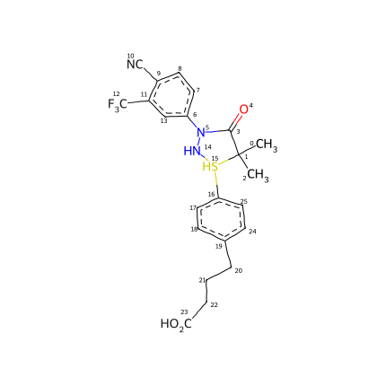 CC1(C)C(=O)N(c2ccc(C#N)c(C(F)(F)F)c2)N[SH]1c1ccc(CCCC(=O)O)cc1